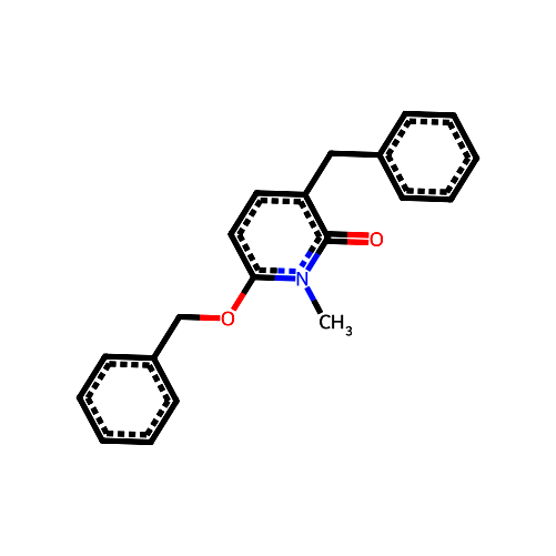 Cn1c(OCc2ccccc2)ccc(Cc2ccccc2)c1=O